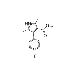 COC(=O)c1c(C)[nH]c(C)c1-c1ccc(F)cc1